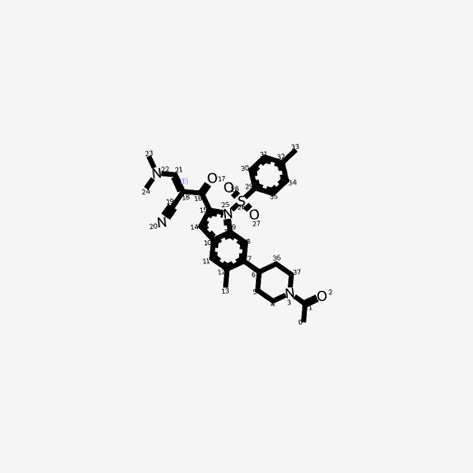 CC(=O)N1CCC(c2cc3c(cc2C)cc(C(=O)/C(C#N)=C/N(C)C)n3S(=O)(=O)c2ccc(C)cc2)CC1